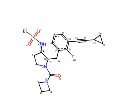 CCS(=O)(=O)N[C@@H]1CCN(C(=O)N2CCC2)[C@@H]1Cc1cccc(C#CC2CC2)c1F